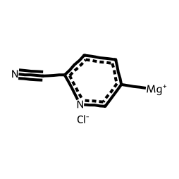 N#Cc1cc[c]([Mg+])cn1.[Cl-]